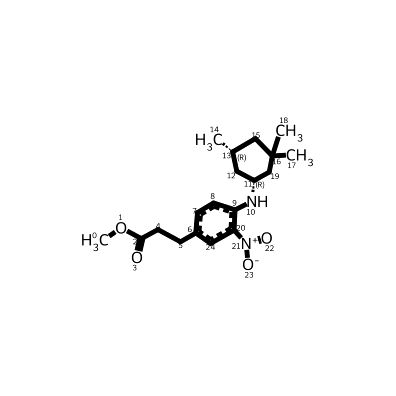 COC(=O)CCc1ccc(N[C@@H]2C[C@H](C)CC(C)(C)C2)c([N+](=O)[O-])c1